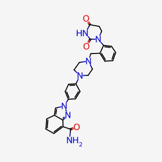 NC(=O)c1cccc2cn(-c3ccc(N4CCN(Cc5ccccc5N5CCC(=O)NC5=O)CC4)cc3)nc12